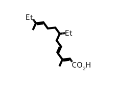 CCC(C)=CCCC(CC)CC=CC(C)=CC(=O)O